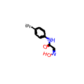 CC(C)c1ccc(NC(=O)/C=N\O)cc1